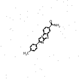 Cc1ccc(-c2cn3c(n2)sc2cc(C(N)=O)ccc23)cc1